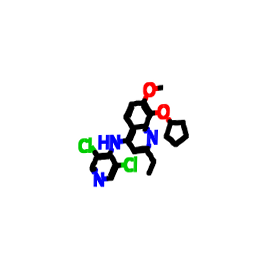 CCc1cc(Nc2c(Cl)cncc2Cl)c2ccc(OC)c(OC3CCCC3)c2n1